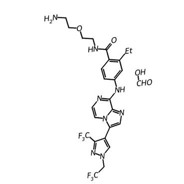 CCc1cc(Nc2nccn3c(-c4cn(CC(F)(F)F)nc4C(F)(F)F)cnc23)ccc1C(=O)NCCOCCN.O=CO